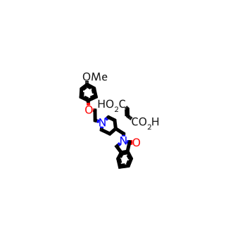 COc1ccc(OCCN2CCC(CN3Cc4ccccc4C3=O)CC2)cc1.O=C(O)/C=C/C(=O)O